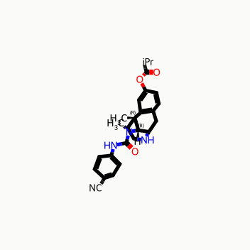 CC(C)C(=O)Oc1ccc2c(c1)[C@@]1(C)CCNC(C2)[C@@H]1N(C)C(=O)Nc1ccc(C#N)cc1